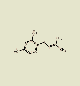 CC(C)=CCc1c[c]c(O)cc1O